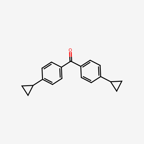 O=C(c1ccc(C2CC2)cc1)c1ccc(C2CC2)cc1